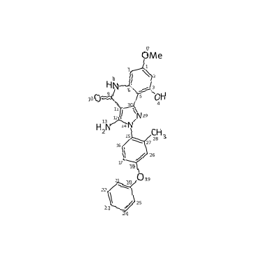 COc1cc(O)c2c(c1)[nH]c(=O)c1c(N)n(-c3ccc(Oc4ccccc4)cc3C)nc12